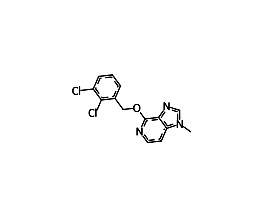 Cn1cnc2c(OCc3cccc(Cl)c3Cl)nccc21